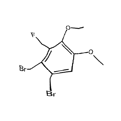 COc1cc(Br)c(Br)c(F)c1OC